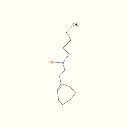 CCCCCN(S)CCC1=CCCCCC1